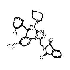 O=C(c1ccccc1Cl)c1cc(C(F)(F)F)ccc1-n1c(CN2CCCCC2)nnc1CN1C(=O)c2ccccc2C1=O